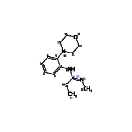 C/N=C(/Nc1ccccc1N1CCOCC1)SC